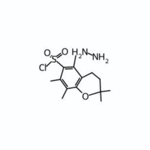 Cc1c(C)c(S(=O)(=O)Cl)c(C)c2c1OC(C)(C)CC2.NN